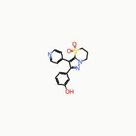 O=S1(=O)CCCn2nc(-c3cccc(O)c3)c(-c3ccncc3)c21